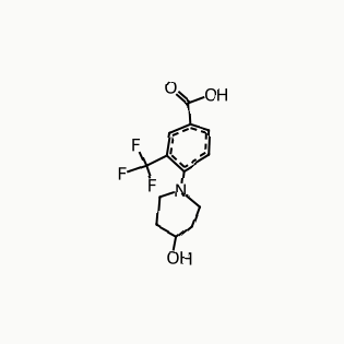 O=C(O)c1ccc(N2CCC(O)CC2)c(C(F)(F)F)c1